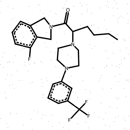 CCCCC(C(=O)N1Cc2cccc(F)c2C1)N1CCN(c2cccc(C(F)(F)F)c2)CC1